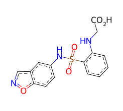 O=C(O)CNc1ccccc1S(=O)(=O)Nc1ccc2oncc2c1